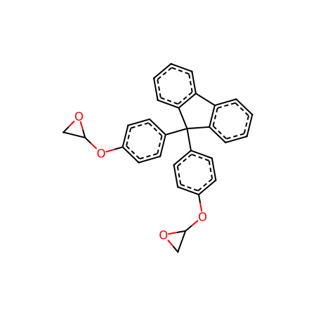 c1ccc2c(c1)-c1ccccc1C2(c1ccc(OC2CO2)cc1)c1ccc(OC2CO2)cc1